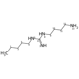 CCCCCNC(=N)NCCCCN